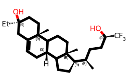 CC[C@]1(O)CC[C@@]2(C)C(=CC[C@@H]3C2CC[C@@]2(C)C3CC[C@@H]2[C@H](C)CC[C@@H](O)C(F)(F)F)C1